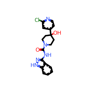 O=C(Nc1n[nH]c2ccccc12)N1CCC(O)(c2ccnc(Cl)c2)CC1